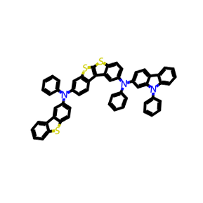 c1ccc(N(c2ccc3c(c2)sc2sc4ccc(N(c5ccccc5)c5ccc6c7ccccc7n(-c7ccccc7)c6c5)cc4c23)c2ccc3sc4ccccc4c3c2)cc1